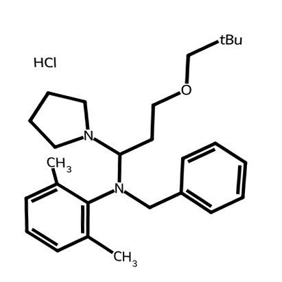 Cc1cccc(C)c1N(Cc1ccccc1)C(CCOCC(C)(C)C)N1CCCC1.Cl